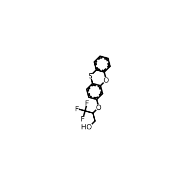 OCC(Oc1ccc2c(c1)Oc1ccccc1S2)C(F)(F)F